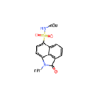 CCCCNS(=O)(=O)c1ccc2c3c(cccc13)C(=O)N2CCC